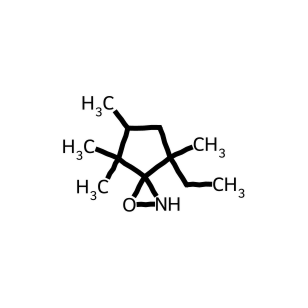 CCC1(C)CC(C)C(C)(C)C12NO2